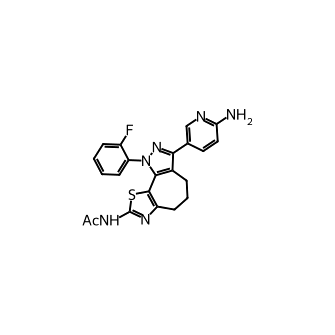 CC(=O)Nc1nc2c(s1)-c1c(c(-c3ccc(N)nc3)nn1-c1ccccc1F)CCC2